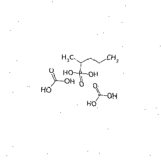 CCCC(C)P(=O)(O)O.O=C(O)O.O=C(O)O